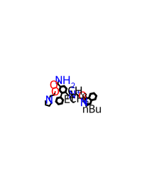 CCCCc1cc2ccccc2c(OCC[N+](C)(C)[C@@H](CC)c2ccc(C(N)=O)c(OCCN3CCCC3)c2-c2ccccc2)n1